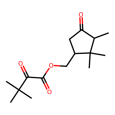 CC1C(=O)CC(COC(=O)C(=O)C(C)(C)C)C1(C)C